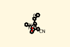 N#Cc1ccc2c(c1)c1ccccc1n2-c1ccc(-c2ccc3oc4ccccc4c3c2)cc1-c1nc(-c2ccccc2)nc(-c2ccccc2)n1